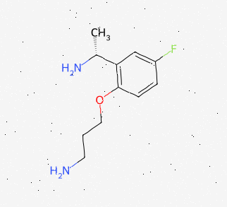 C[C@@H](N)c1cc(F)ccc1OCCCN